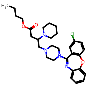 CCCCOC(=O)CC(CN1CCN(C2=Nc3ccccc3Oc3ccc(Cl)cc32)CC1)N1CCCCC1